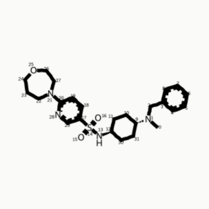 CN(Cc1ccccc1)[C@H]1CC[C@H](NS(=O)(=O)c2ccc(N3CCCOCC3)nc2)CC1